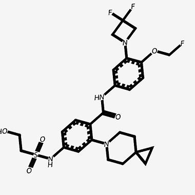 O=C(Nc1ccc(OCF)c(N2CC(F)(F)C2)c1)c1ccc(NS(=O)(=O)CCO)cc1N1CCC2(CC1)CC2